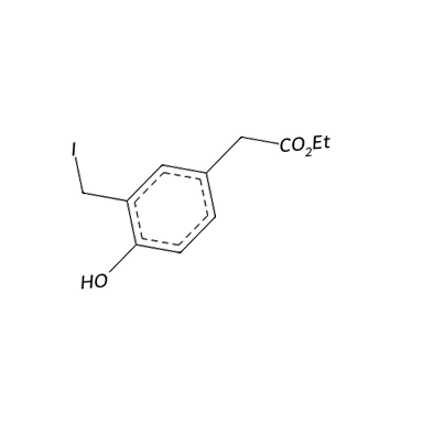 CCOC(=O)Cc1ccc(O)c(CI)c1